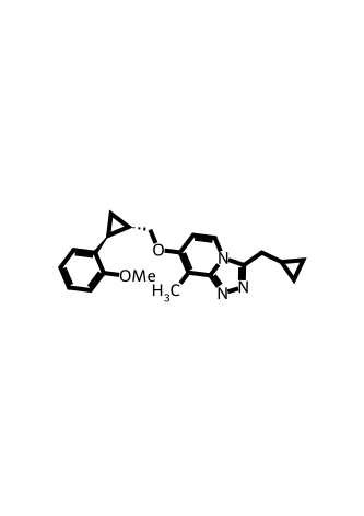 COc1ccccc1[C@H]1C[C@@H]1COc1ccn2c(CC3CC3)nnc2c1C